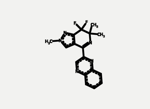 Cn1cc2c(n1)C(F)(F)C(C)(C)N=C2c1cnc2ccccc2n1